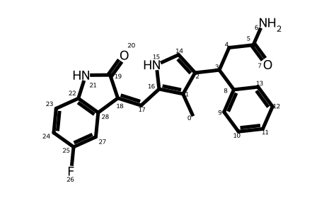 Cc1c(C(CC(N)=O)c2ccccc2)c[nH]c1C=C1C(=O)Nc2ccc(F)cc21